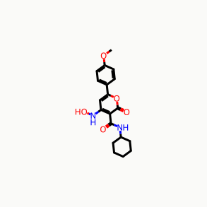 COc1ccc(-c2cc(NO)c(C(=O)NC3CCCCC3)c(=O)o2)cc1